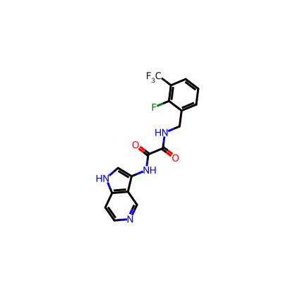 O=C(NCc1cccc(C(F)(F)F)c1F)C(=O)Nc1c[nH]c2ccncc12